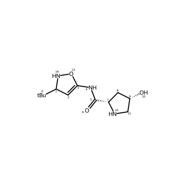 CC(C)(C)C1C=C(NC(=O)[C@@H]2C[C@H](O)CN2)ON1